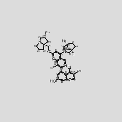 Oc1cc(-c2ncc3c(N4C[C@H]5CC[C@@H](C4)N5)cc(OC[C@@]45CCCN4C[C@H](F)C5)nc3c2F)c2c(Cl)c(F)ccc2c1